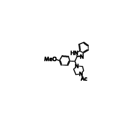 COc1ccc(C(c2nc3ccccc3[nH]2)N2CCN(C(C)=O)CC2)cc1